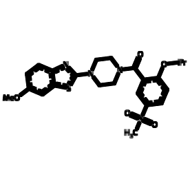 COc1ccc2nc(N3CCN(C(=O)c4cc(S(C)(=O)=O)ccc4OC(C)C)CC3)sc2c1